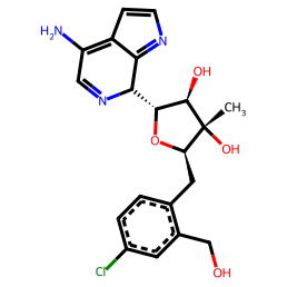 C[C@]1(O)[C@H](O)[C@@H](C2N=CC(N)=C3C=CN=C32)O[C@@H]1Cc1ccc(Cl)cc1CO